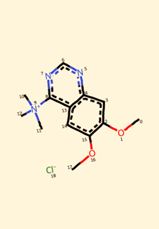 COc1cc2ncnc([N+](C)(C)C)c2cc1OC.[Cl-]